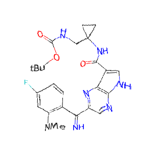 CNc1cc(F)ccc1C(=N)c1cnc2[nH]cc(C(=O)NC3(CNC(=O)OC(C)(C)C)CC3)c2n1